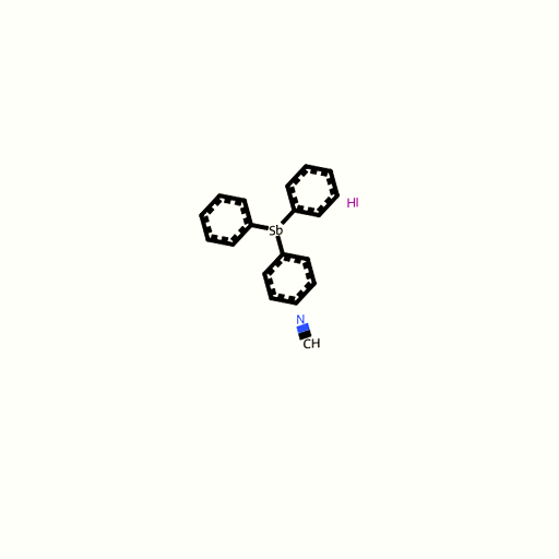 C#N.I.c1cc[c]([Sb]([c]2ccccc2)[c]2ccccc2)cc1